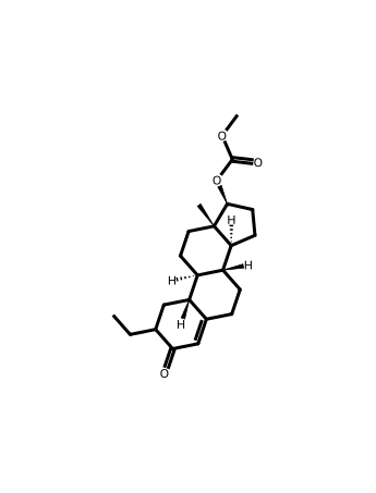 CCC1C[C@H]2C(=CC1=O)CC[C@@H]1[C@@H]2CC[C@]2(C)[C@@H](OC(=O)OC)CC[C@@H]12